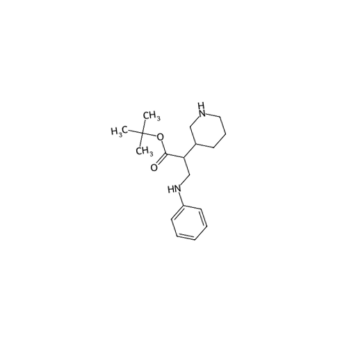 CC(C)(C)OC(=O)C(CNc1ccccc1)C1CCCNC1